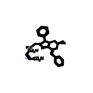 CCCCN1CC(=Cc2ccccc2)C2=NN(CC(F)(F)F)C(c3ccccc3)C2C1.O=C(O)/C=C\C(=O)O